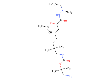 CN(CC(=O)O)NC(=O)C(CCCCC(C)(C)CNC(=O)OC(C)(C)CN)O[SiH](C)C